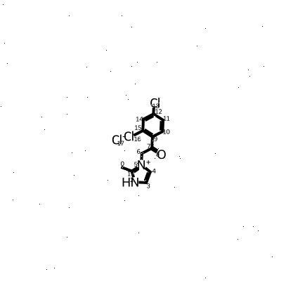 Cc1[nH]cc[n+]1CC(=O)c1ccc(Cl)cc1Cl.[Cl-]